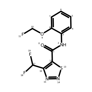 O=C(Nc1ccccc1OCF)c1snnc1C(F)F